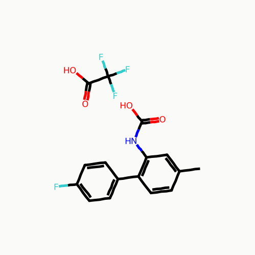 Cc1ccc(-c2ccc(F)cc2)c(NC(=O)O)c1.O=C(O)C(F)(F)F